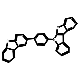 c1ccc2c(c1)oc1ccc(-c3ccc(-n4c5ccccc5c5c6ccccc6sc54)cc3)cc12